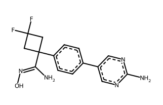 N/C(=N\O)C1(c2ccc(-c3cnc(N)nc3)cc2)CC(F)(F)C1